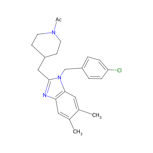 CC(=O)N1CCC(Cc2nc3cc(C)c(C)cc3n2Cc2ccc(Cl)cc2)CC1